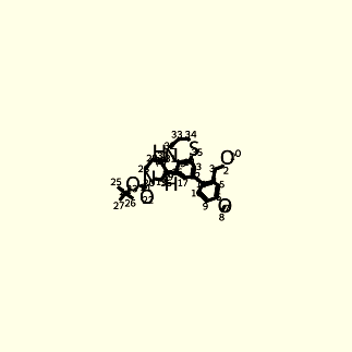 COCCc1cc(OC)ccc1-c1cc2c3c(c1)[C@@H]1CN(C(=O)OC(C)(C)C)CC[C@@H]1N3CCCS2